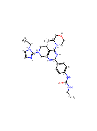 CCNC(=O)Nc1ccc(-c2nc3c(c(N4CCOCC4C)n2)CCN(c2nccn2CC)C3)cc1